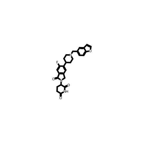 O=C1CCC(N2Cc3cc(C4CCN(Cc5ccc6occc6c5)CC4)c(F)cc3C2=O)C(=O)N1